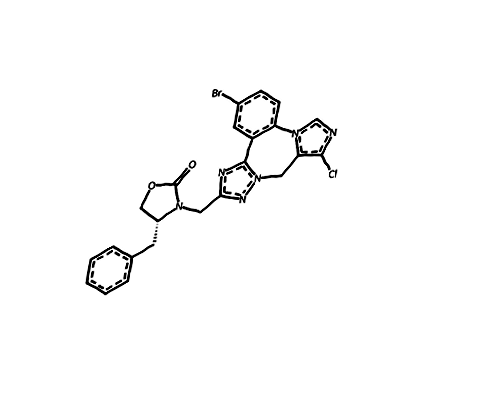 O=C1OC[C@@H](Cc2ccccc2)N1Cc1nc2n(n1)Cc1c(Cl)ncn1-c1ccc(Br)cc1-2